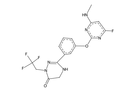 CNc1cc(F)nc(Oc2cccc(C3=NN(CC(F)(F)F)C(=O)CN3)c2)n1